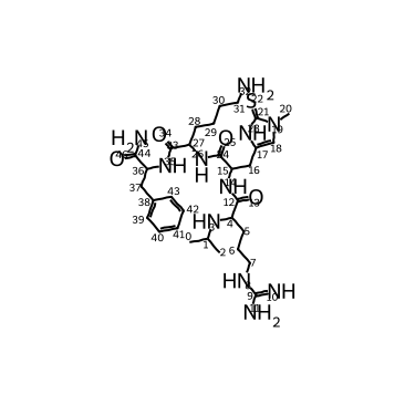 CC(C)NC(CCCNC(=N)N)C(=O)NC(Cc1cn(C)c(=S)[nH]1)C(=O)NC(CCCCN)C(=O)NC(Cc1ccccc1)C(N)=O